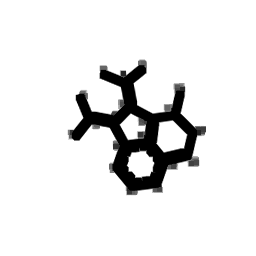 CC(C)=C1C(=C(C)C)c2cccc3c2=C1C(C)CC=3